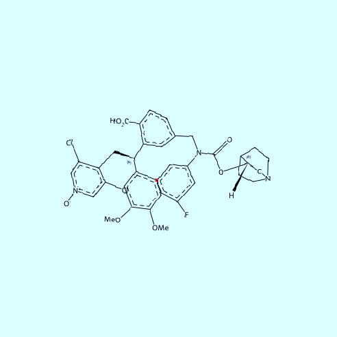 COc1ccc([C@@H](Cc2c(Cl)c[n+]([O-])cc2Cl)c2cc(CN(C(=O)O[C@H]3CN4CCC3CC4)c3cccc(F)c3)ccc2C(=O)O)cc1OC